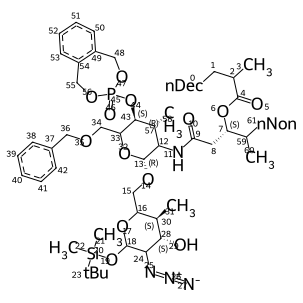 CCCCCCCCCCCC(C)C(=O)O[C@@H](CC(=O)NC1[C@H](OCC2OC(O[Si](C)(C)C(C)(C)C)C(N=[N+]=[N-])[C@@H](O)[C@@H]2C)OC(COCc2ccccc2)[C@@H](OP2(=O)OCc3ccccc3CO2)[C@@H]1C)C(C)CCCCCCCCC